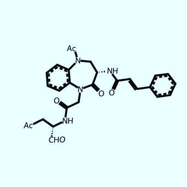 CC(=O)C[C@@H](C=O)NC(=O)CN1C(=O)[C@@H](NC(=O)/C=C/c2ccccc2)CN(C(C)=O)c2ccccc21